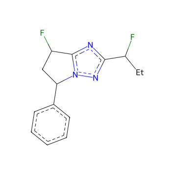 CCC(F)c1nc2n(n1)C(c1ccccc1)CC2F